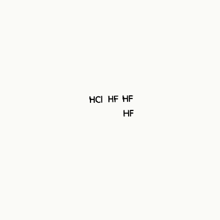 Cl.F.F.F